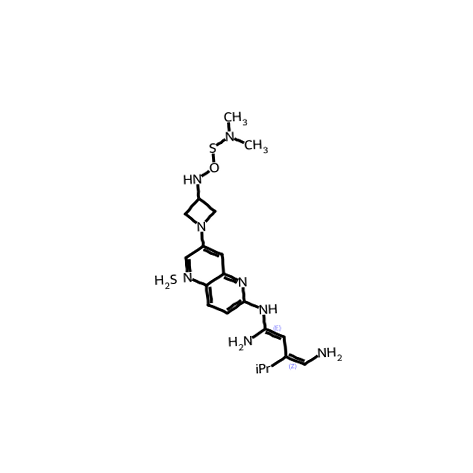 CC(C)C(=C/N)/C=C(\N)Nc1ccc2ncc(N3CC(NOSN(C)C)C3)cc2n1.S